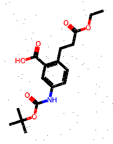 CCOC(=O)CCc1ccc(NC(=O)OC(C)(C)C)cc1C(=O)O